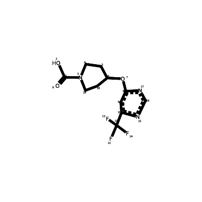 O=C(O)N1CCC(Oc2cc(C(F)(F)F)ncn2)CC1